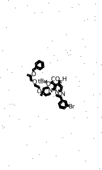 Cc1cc2nc(-c3cccc(Br)c3)cn2c(N2CCC(C)(OCCOCC(C)OCc3ccccc3)CC2)c1C(OC(C)(C)C)C(=O)O